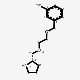 Fc1cccc(COCCOC[C@@H]2CCCN2)c1